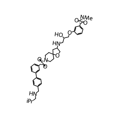 CNS(=O)(=O)c1cccc(OCC(O)CNC2COC3(CCN(S(=O)(=O)c4cccc(-c5ccc(CNCC(C)C)cc5)c4)CC3)C2)c1